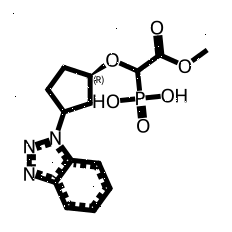 COC(=O)C(O[C@@H]1CCC(n2nnc3ccccc32)C1)P(=O)(O)O